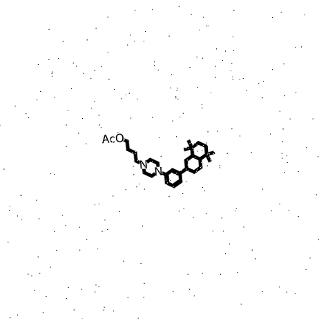 CC(=O)OCCCCN1CCN(c2cccc(C3CCC4C(C3)C(C)(C)CCC4(C)C)c2)CC1